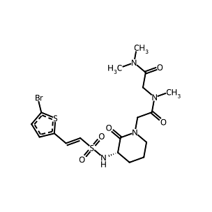 CN(C)C(=O)CN(C)C(=O)CN1CCC[C@H](NS(=O)(=O)/C=C/c2ccc(Br)s2)C1=O